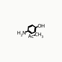 CC(C)=O.Nc1ccc(O)cc1